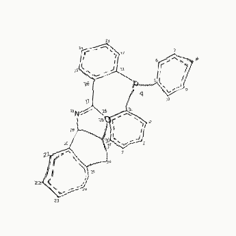 c1ccc(P(c2ccccc2)c2ccccc2C2=NC3c4ccccc4CC3O2)cc1